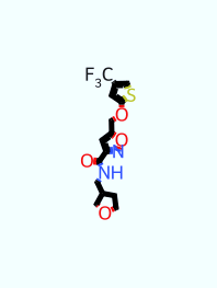 O=C(NCC1CCOC1)c1cc(COc2cc(C(F)(F)F)cs2)on1